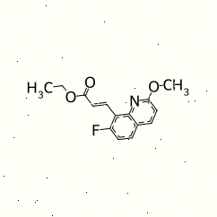 CCOC(=O)C=Cc1c(F)ccc2ccc(OC)nc12